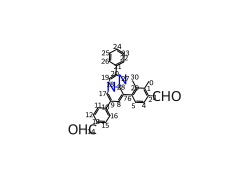 Cc1c(C=O)ccc(-c2cc(-c3ccc(C=O)cc3)cn3cc(-c4ccccc4)nc23)c1C